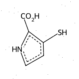 O=C(O)c1[nH]ccc1S